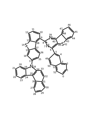 c1ccc2cc(-c3nc(-c4cccc5sc6cc(-n7c8ccccc8c8c9ccccc9ccc87)ccc6c45)nc4c3sc3ccccc34)ccc2c1